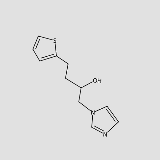 OC(CCc1cccs1)Cn1ccnc1